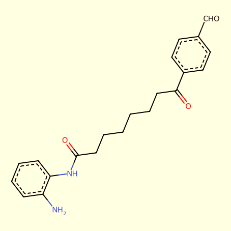 Nc1ccccc1NC(=O)CCCCCCC(=O)c1ccc(C=O)cc1